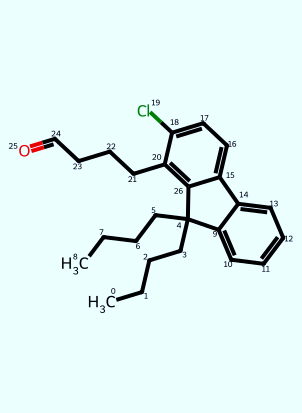 CCCCC1(CCCC)c2ccccc2-c2ccc(Cl)c(CCCC=O)c21